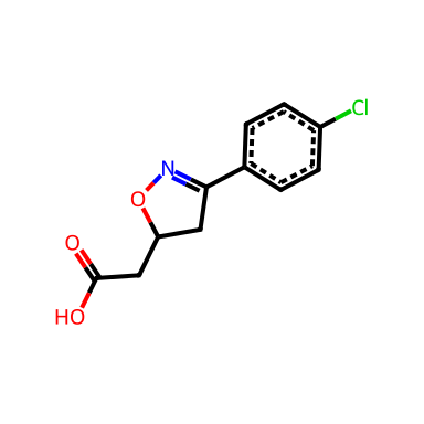 O=C(O)CC1CC(c2ccc(Cl)cc2)=NO1